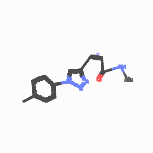 CCCCNC(=O)/C=C\c1cn(-c2ccc(C)cc2)nn1